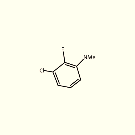 CNc1cccc(Cl)c1F